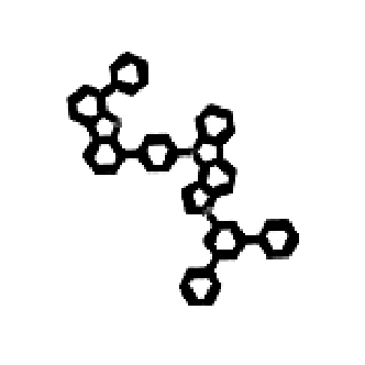 c1ccc(-c2cc(-c3ccccc3)cc(-n3ccc4c3ccc3c5ccccc5n(-c5ccc(-c6cccc7c6sc6c(-c8ccccc8)cccc67)cc5)c34)c2)cc1